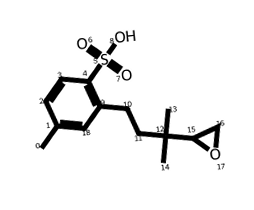 Cc1ccc(S(=O)(=O)O)c(CCC(C)(C)C2CO2)c1